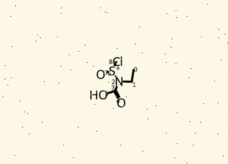 CCN(C(=O)O)[S+]([O-])Cl